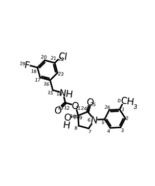 Cc1cccc(N2CC[C@@](O)(OC(=O)NCc3cc(F)cc(Cl)c3)C2=O)c1